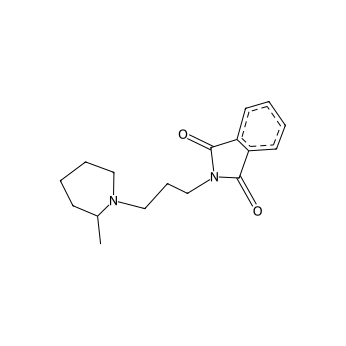 CC1CCCCN1CCCN1C(=O)c2ccccc2C1=O